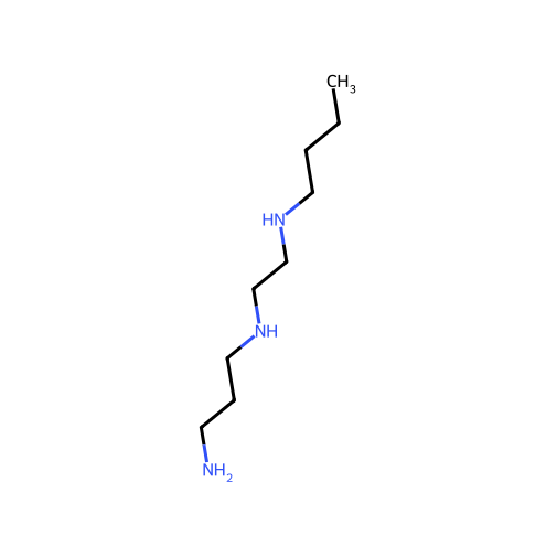 CCCCNCCNCCCN